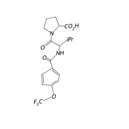 CC(C)C(NC(=O)c1ccc(OC(F)(F)F)cc1)C(=O)N1CCCC1C(=O)O